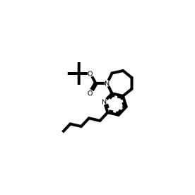 CCCCCc1ccc2c(n1)N(C(=O)OC(C)(C)C)CCCC2